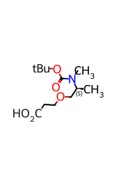 C[C@@H](COCCC(=O)O)N(C)C(=O)OC(C)(C)C